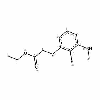 CCOC(=O)CCc1cccc(NC)c1F